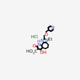 CCn1c(COCc2ccncc2)nc2c1CCCc1c-2[nH]c(=O)c(C(=O)O)c1O.Cl